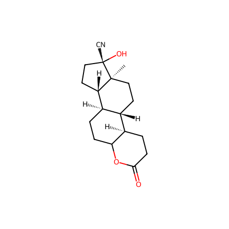 C[C@]12CC[C@H]3[C@@H](CCC4OC(=O)CC[C@@H]43)[C@@H]1CC[C@@]2(O)C#N